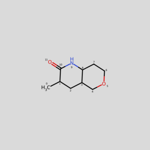 CC1CC2COCCC2NC1=O